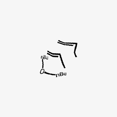 C=CC.C=CC.CCCCOCCCC